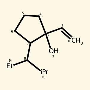 C=CC1(O)CCCC1C(CC)C(C)C